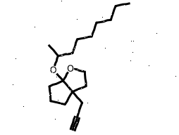 C#CCC12CCCC1(OC(C)CCCCCCC)OCC2